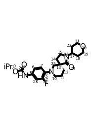 CC(C)OC(=O)Nc1ccc(N2CCC[C@@]3(CCN(C4CCOCC4)C3=O)C2)c(F)c1